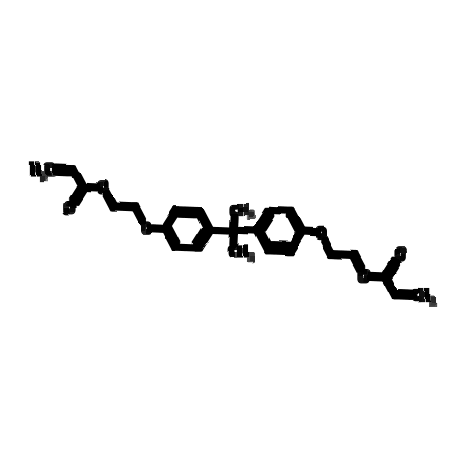 C=CC(=O)OCCOc1ccc(C(C)(C)c2ccc(OCCOC(=O)C=C)cc2)cc1